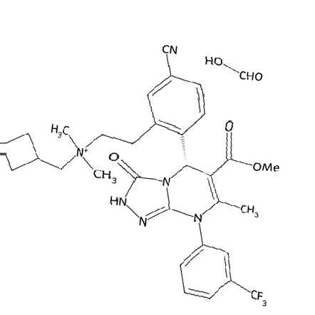 COC(=O)C1=C(C)N(c2cccc(C(F)(F)F)c2)c2n[nH]c(=O)n2[C@@H]1c1ccc(C#N)cc1CC[N+](C)(C)CC1CCC1.O=CO